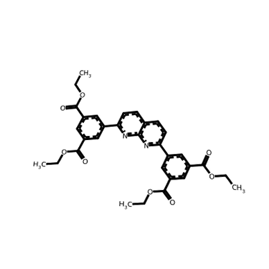 CCOC(=O)c1cc(C(=O)OCC)cc(-c2ccc3ccc(-c4cc(C(=O)OCC)cc(C(=O)OCC)c4)nc3n2)c1